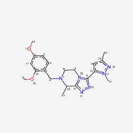 COc1ccc(CN2CCn3c(-c4cc(C)nn4C)nnc3C2C)c(OC)c1